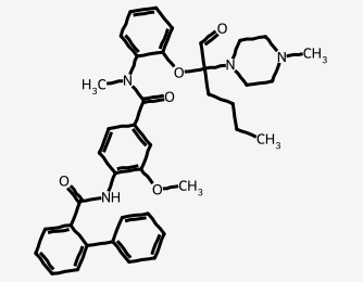 CCCCC(C=O)(Oc1ccccc1N(C)C(=O)c1ccc(NC(=O)c2ccccc2-c2ccccc2)c(OC)c1)N1CCN(C)CC1